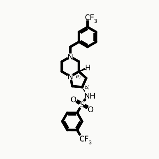 O=S(=O)(N[C@H]1C[C@H]2CN(Cc3cccc(C(F)(F)F)c3)CCN2C1)c1cccc(C(F)(F)F)c1